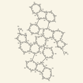 Cn1cc2ccc3c(-c4cccc5c6ccccc6n(-c6ccccc6)c45)cc4cc5c(cc(-c6cccc7c8ccccc8n(-c8ccccc8)c67)c6ccc7cn(C)nc7c65)cc4c3c2n1